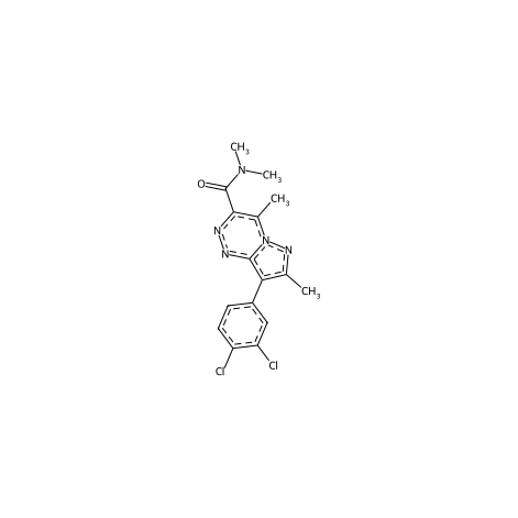 Cc1nn2c(C)c(C(=O)N(C)C)nnc2c1-c1ccc(Cl)c(Cl)c1